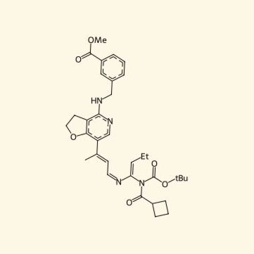 CC/C=C(/N=C\C=C(/C)c1cnc(NCc2cccc(C(=O)OC)c2)c2c1OCC2)N(C(=O)OC(C)(C)C)C(=O)C1CCC1